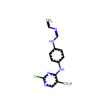 C=C/N=C\Nc1ccc(Nc2nc(Cl)ncc2C(=O)O)cc1